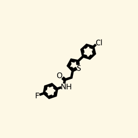 O=C(Cc1ccc(-c2ccc(Cl)cc2)s1)Nc1ccc(F)cc1